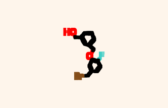 OCc1cccc(COc2cc(CBr)ccc2F)c1